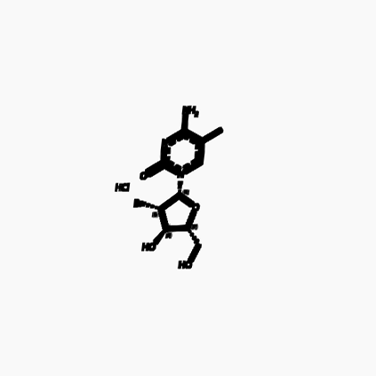 Cc1cn([C@@H]2O[C@H](CO)[C@@H](O)[C@@H]2Br)c(=O)nc1N.Cl